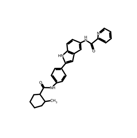 CC1CCCCC1C(=O)Nc1ccc(-c2cc3cc(NC(=O)c4ccccn4)ccc3[nH]2)cc1